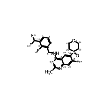 Cc1nc(NCc2cccc(C(F)F)c2F)c2cc(P3(=O)CCOCC3)c(F)cc2n1